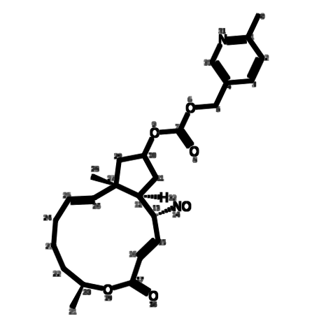 Cc1ccc(COC(=O)OC2C[C@H]3[C@H](N=O)/C=C/C(=O)O[C@@H](C)CCC/C=C/[C@]3(C)C2)cn1